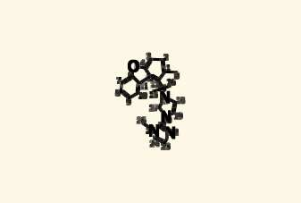 Cc1ccc2oc3ccccc3c2c1C(C)(C)N1C=CN(c2nccn2C)C1